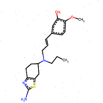 CCCN(C/C=C/c1ccc(OC)c(O)c1)C1CCc2nc(N)sc2C1